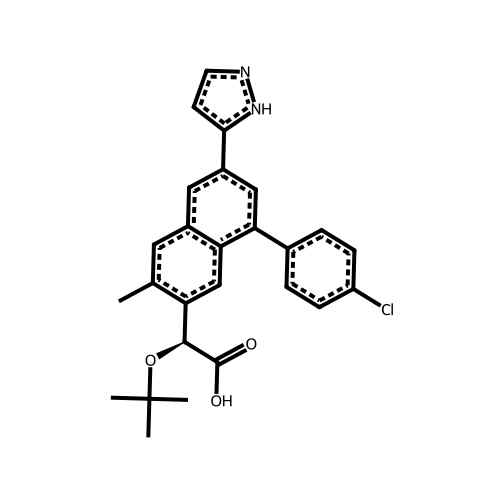 Cc1cc2cc(-c3ccn[nH]3)cc(-c3ccc(Cl)cc3)c2cc1[C@H](OC(C)(C)C)C(=O)O